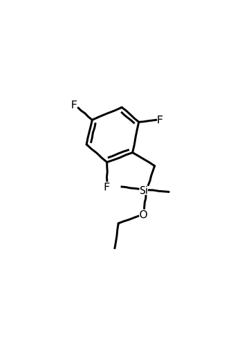 CCO[Si](C)(C)Cc1c(F)cc(F)cc1F